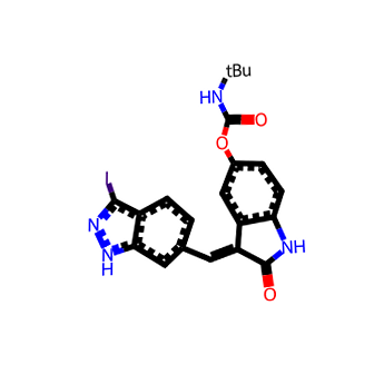 CC(C)(C)NC(=O)Oc1ccc2c(c1)/C(=C\c1ccc3c(I)n[nH]c3c1)C(=O)N2